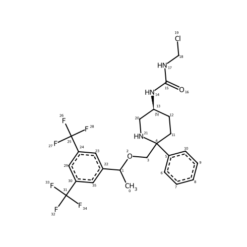 CC(OCC1(c2ccccc2)CC[C@H](NC(=O)NCCl)CN1)c1cc(C(F)(F)F)cc(C(F)(F)F)c1